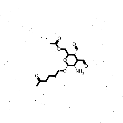 CC(=O)CCCCO[C@@H]1OC(COC(C)=O)[C@H](C=O)C(C=O)[C@@H]1N